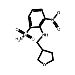 NS(=O)(=O)c1cccc([N+](=O)[O-])c1NCC1CCOC1